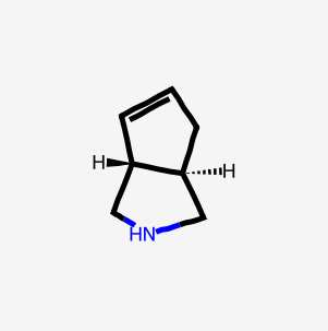 C1=C[C@H]2CNC[C@@H]2C1